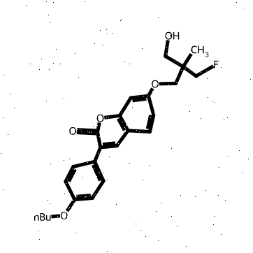 CCCCOc1ccc(-c2cc3ccc(OCC(C)(CO)CF)cc3oc2=O)cc1